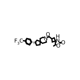 CC1OC(=O)NC12CC(C(=O)N1CCC3(CC[C@H](c4ccc(C(F)(F)F)cc4)C3)CC1)C2